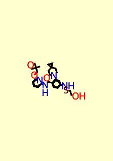 CC1(COc2cccc(NC(=O)c3ccc(NSCCO)cc3N3CCC4(CC3)CC4)n2)COC1